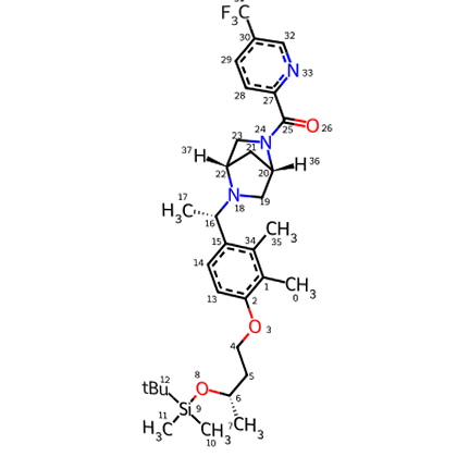 Cc1c(OCC[C@H](C)O[Si](C)(C)C(C)(C)C)ccc([C@H](C)N2C[C@@H]3C[C@H]2CN3C(=O)c2ccc(C(F)(F)F)cn2)c1C